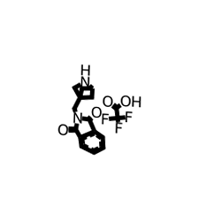 O=C(O)C(F)(F)F.O=C1c2ccccc2C(=O)N1CC12CNC(C1)C2